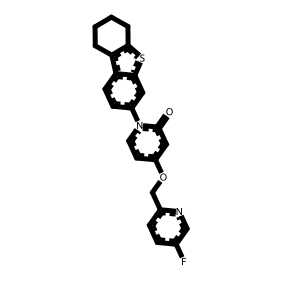 O=c1cc(OCc2ccc(F)cn2)ccn1-c1ccc2c3c(sc2c1)CCCC3